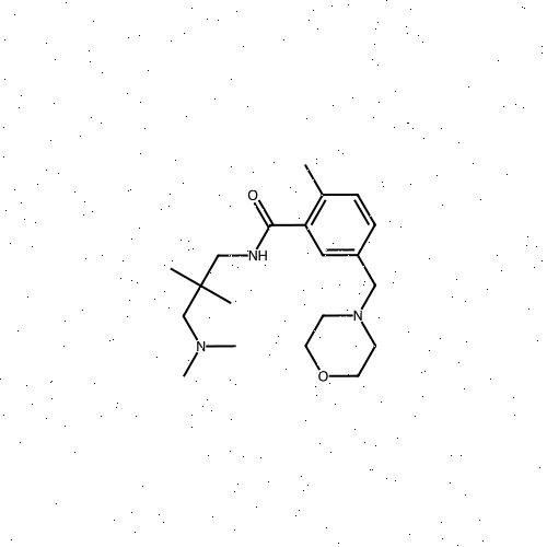 Cc1ccc(CN2CCOCC2)cc1C(=O)NCC(C)(C)CN(C)C